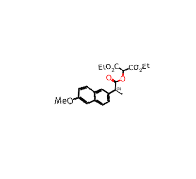 CCOC(=O)C(OC(=O)[C@@H](C)c1ccc2cc(OC)ccc2c1)C(=O)OCC